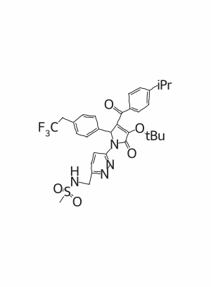 CC(C)c1ccc(C(=O)C2=C(OC(C)(C)C)C(=O)N(c3ccc(CNS(C)(=O)=O)nn3)C2c2ccc(CC(F)(F)F)cc2)cc1